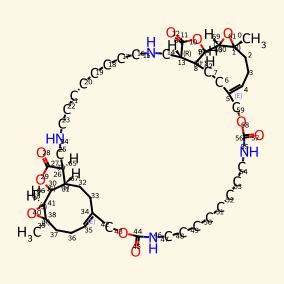 C[C@@]12CC/C=C3\CC[C@@H]4[C@H](OC(=O)[C@H]4CNCCCCCCCCNC[C@@H]4C(=O)O[C@H]5[C@H]4CC/C(=C\CC[C@@]4(C)O[C@@H]54)COC(=O)NCCCCCCCCNC(=O)OC3)[C@@H]1O2